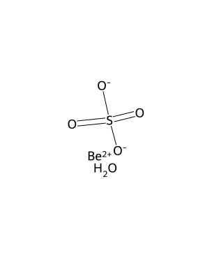 O.O=S(=O)([O-])[O-].[Be+2]